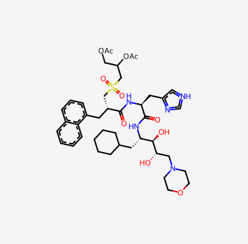 CC(=O)OCC(CS(=O)(=O)C[C@@H](Cc1cccc2ccccc12)C(=O)N[C@@H](Cc1c[nH]cn1)C(=O)N[C@@H](CC1CCCCC1)[C@@H](O)[C@@H](O)CN1CCOCC1)OC(C)=O